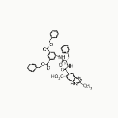 Cc1nc2cc(C(=O)N[C@@H](Cc3ccccc3)C(=O)Nc3cc(C(=O)OCc4ccccc4)cc(C(=O)OCc4ccccc4)c3)c(C(=O)O)cc2[nH]1